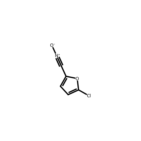 [O-][N+]#Cc1ccc(Cl)o1